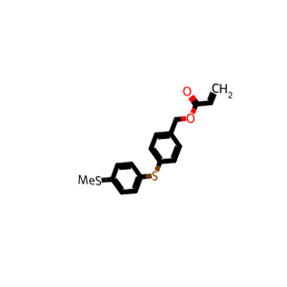 C=CC(=O)OCc1ccc(Sc2ccc(SC)cc2)cc1